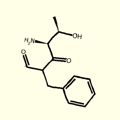 C[C@@H](O)[C@H](N)C(=O)C([C]=O)Cc1ccccc1